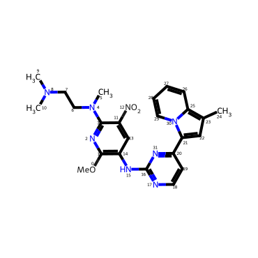 COc1nc(N(C)CCN(C)C)c([N+](=O)[O-])cc1Nc1nccc(-c2cc(C)c3ccccn23)n1